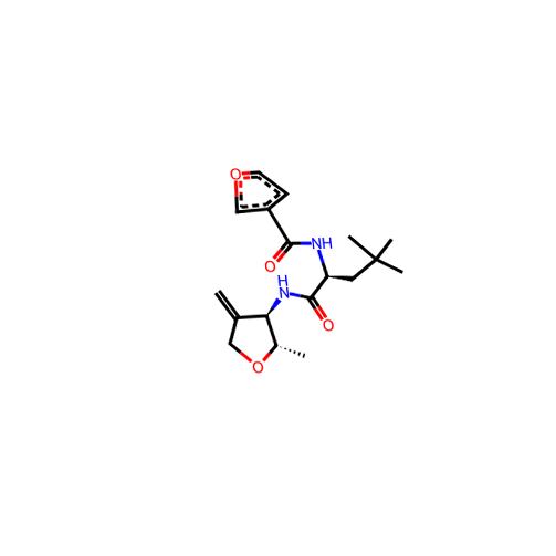 C=C1CO[C@@H](C)[C@@H]1NC(=O)[C@H](CC(C)(C)C)NC(=O)c1ccoc1